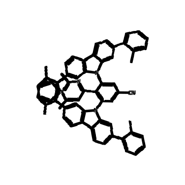 Cc1cc(-c2c(-n3c4cc(-c5ccccc5C)ccc4c4ccc(-c5ccccc5C)cc43)cc(C#N)cc2-n2c3cc(-c4ccccc4C)ccc3c3ccc(-c4ccccc4C)cc32)nc(C)n1